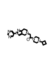 O=C(CN1CCc2nn(-c3cncnc3)cc2C1)N1CCN(C2CCC2)CC1